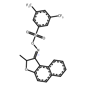 CC1Oc2ccc3ccccc3c2/C1=N/OS(=O)(=O)c1cc(C(F)(F)F)cc(C(F)(F)F)c1